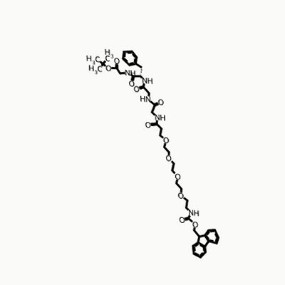 CC(C)(C)OC(=O)CNC(=O)[C@H](Cc1ccccc1)NC(=O)CNC(=O)CNC(=O)CCOCCOCCOCCOCCNC(=O)OCC1c2ccccc2-c2ccccc21